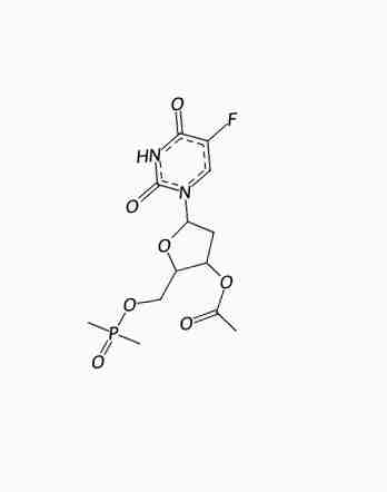 CC(=O)OC1CC(n2cc(F)c(=O)[nH]c2=O)OC1COP(C)(C)=O